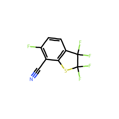 N#Cc1c(F)ccc2c1SC(F)(F)C2(F)F